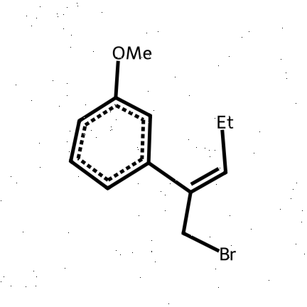 CC/C=C(/CBr)c1cccc(OC)c1